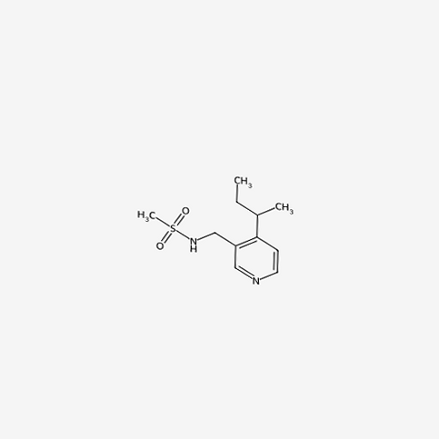 CCC(C)c1ccncc1CNS(C)(=O)=O